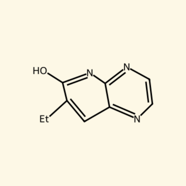 CCc1cc2nccnc2nc1O